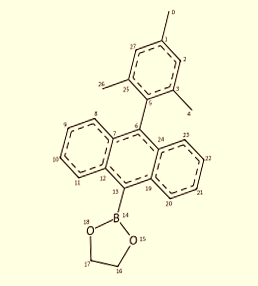 Cc1cc(C)c(-c2c3ccccc3c(B3OCCO3)c3ccccc23)c(C)c1